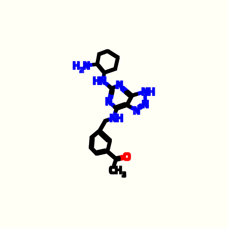 CC(=O)c1cccc(CNc2nc(NC3CCCCC3N)nc3[nH]nnc23)c1